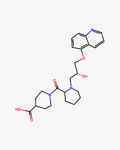 O=C(O)C1CCN(C(=O)C2CCCCN2C[C@@H](O)COc2cccc3ncccc23)CC1